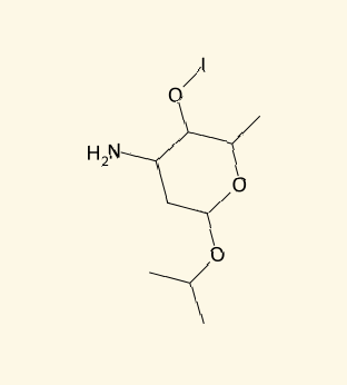 CC(C)OC1CC(N)C(OI)C(C)O1